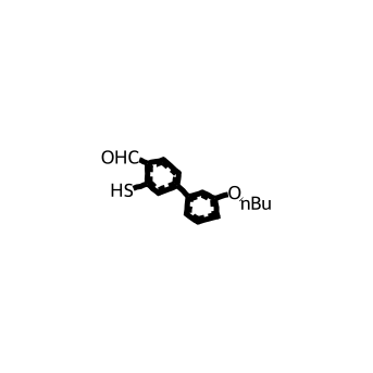 CCCCOc1cccc(-c2ccc(C=O)c(S)c2)c1